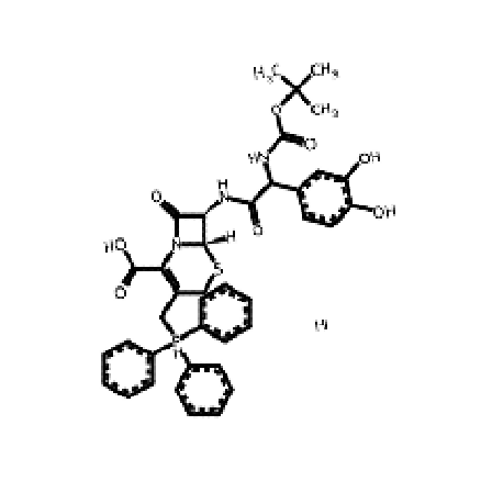 CC(C)(C)OC(=O)NC(C(=O)N[C@@H]1C(=O)N2C(C(=O)O)=C(C[PH](c3ccccc3)(c3ccccc3)c3ccccc3)CS[C@@H]12)c1ccc(O)c(O)c1.I